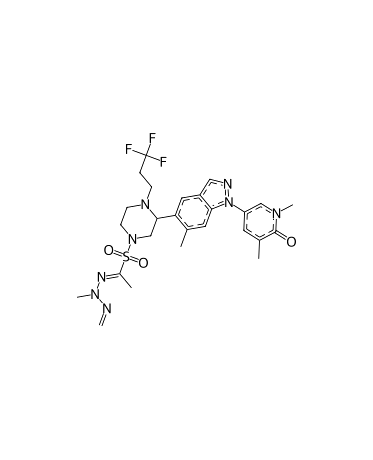 C=NN(C)/N=C(\C)S(=O)(=O)N1CCN(CCC(F)(F)F)C(c2cc3cnn(-c4cc(C)c(=O)n(C)c4)c3cc2C)C1